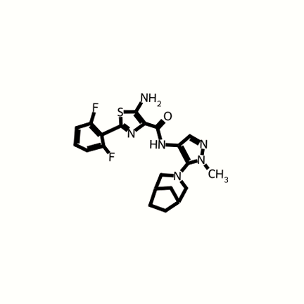 Cn1ncc(NC(=O)c2nc(-c3c(F)cccc3F)sc2N)c1N1CC2CCC(C2)C1